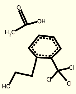 CC(=O)O.OCCc1ccccc1C(Cl)(Cl)Cl